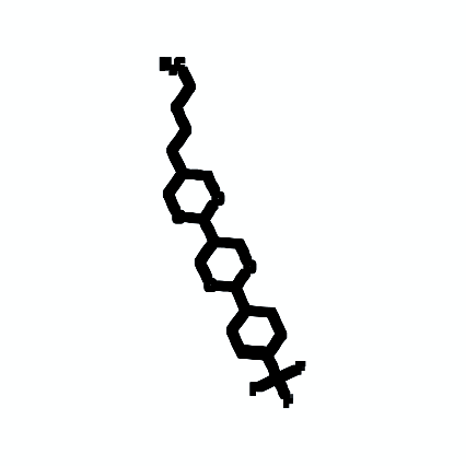 CCCCCC1COC(C2COC(C3CC=C(C(F)(F)F)CC3)OC2)OC1